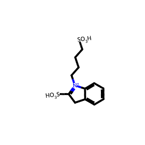 O=S(=O)(O)CCCC[N+]1=C(S(=O)(=O)O)Cc2ccccc21